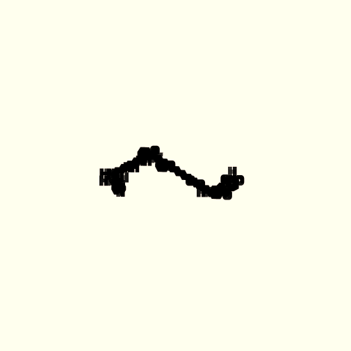 C[C@@H](NC(=O)c1cccc(NCCCNCCCC(=N)NC(=N)c2ccncn2)c1)c1cccc(OCCCCCCOCCOCCNc2ccc3c(c2)CN(C2CCC(=O)NC2=O)C3=O)c1